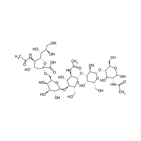 CC(=O)N[C@H]1[C@H](O[C@H]2[C@@H](O)[C@@H](CO)O[C@@H](O[C@H]3[C@H](O)[C@@H](NC(C)=O)C(O)O[C@@H]3CO)[C@@H]2O)O[C@H](CO)[C@@H](O[C@@H]2O[C@H](CO[C@]3(C(=O)O)C[C@H](O)[C@@H](NC(C)=O)[C@H]([C@H](O)[C@H](O)CO)O3)[C@H](O)[C@H](O)[C@H]2O)[C@@H]1O